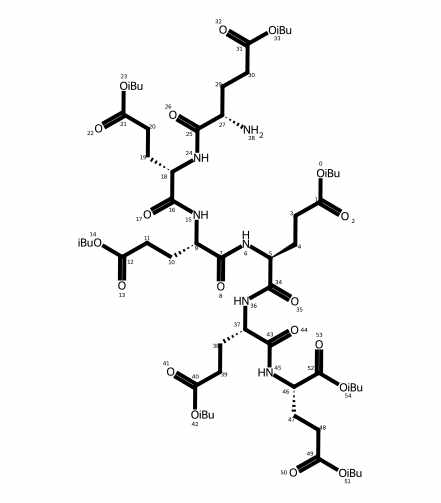 CC(C)COC(=O)CC[C@H](NC(=O)[C@H](CCC(=O)OCC(C)C)NC(=O)[C@H](CCC(=O)OCC(C)C)NC(=O)[C@@H](N)CCC(=O)OCC(C)C)C(=O)N[C@@H](CCC(=O)OCC(C)C)C(=O)N[C@@H](CCC(=O)OCC(C)C)C(=O)OCC(C)C